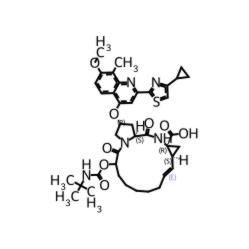 COc1ccc2c(O[C@@H]3C[C@H]4C(=O)N[C@]5(C(=O)O)C[C@H]5/C=C/CCCCCC(OC(=O)NC(C)(C)C)C(=O)N4C3)cc(-c3nc(C4CC4)cs3)nc2c1C